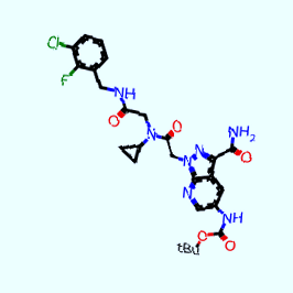 CC(C)(C)OC(=O)Nc1cnc2c(c1)c(C(N)=O)nn2CC(=O)N(CC(=O)NCc1cccc(Cl)c1F)C1CC1